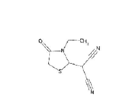 CCN1C(=O)CSC1C(C#N)C#N